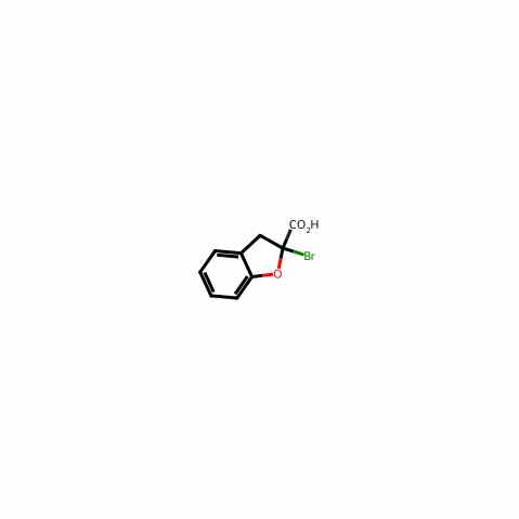 O=C(O)C1(Br)Cc2ccccc2O1